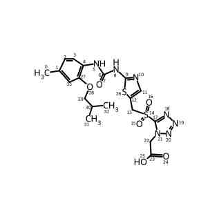 Cc1ccc(NC(=O)Nc2ncc(CS(=O)(=O)c3nnnn3CC(=O)O)s2)c(OCC(C)C)c1